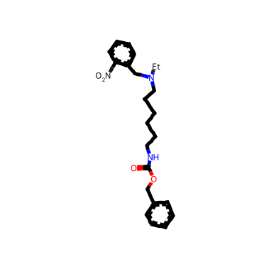 CCN(CCCCCCNC(=O)OCc1ccccc1)Cc1ccccc1[N+](=O)[O-]